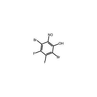 O=Nc1c(O)c(Br)c(F)c(F)c1Br